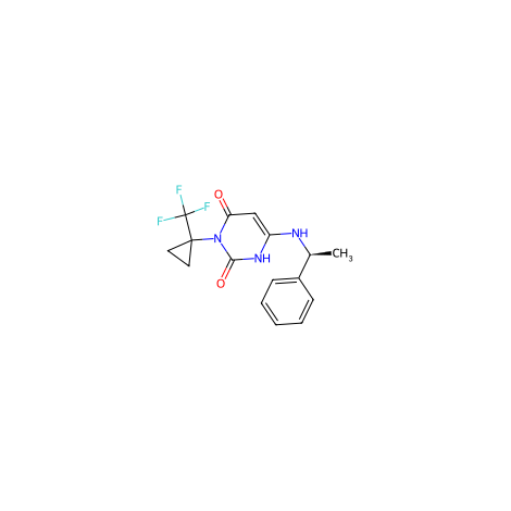 C[C@H](Nc1cc(=O)n(C2(C(F)(F)F)CC2)c(=O)[nH]1)c1ccccc1